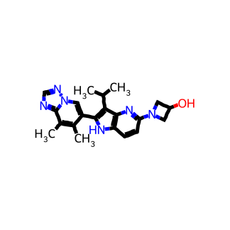 Cc1c(-c2[nH]c3ccc(N4CC(O)C4)nc3c2C(C)C)cn2ncnc2c1C